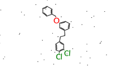 Clc1ccc([CH]Cc2cccc(OCc3ccccc3)c2)cc1Cl